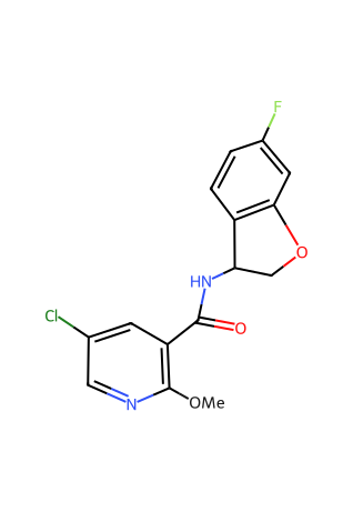 COc1ncc(Cl)cc1C(=O)NC1COc2cc(F)ccc21